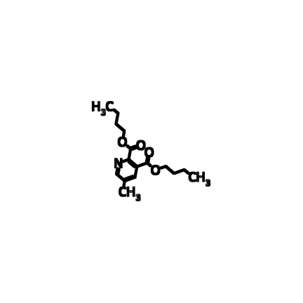 CCCCOC(=O)c1cc(C)cnc1C(=O)OCCCC